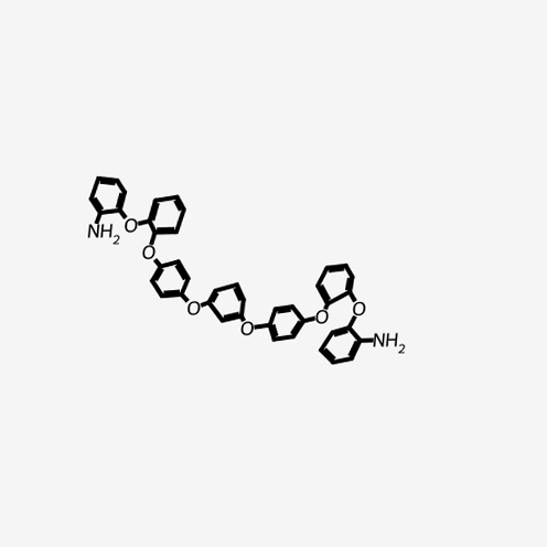 Nc1ccccc1Oc1ccccc1Oc1ccc(Oc2cccc(Oc3ccc(Oc4ccccc4Oc4ccccc4N)cc3)c2)cc1